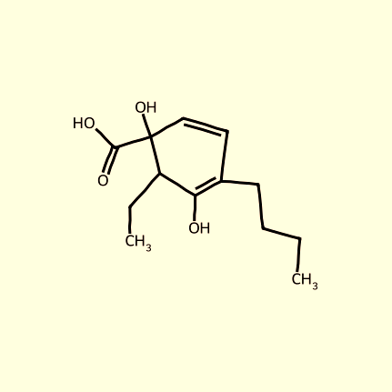 CCCCC1=C(O)C(CC)C(O)(C(=O)O)C=C1